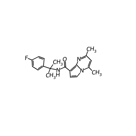 Cc1cc(C)n2ccc(C(=O)NC(C)(C)c3ccc(F)cc3)c2n1